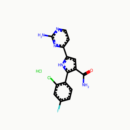 Cl.NC(=O)c1cc(-c2ccnc(N)n2)[nH]c1-c1ccc(F)cc1Cl